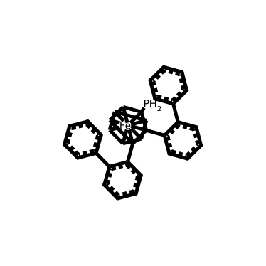 P[C]12[CH]3[CH]4[C]5(c6ccccc6-c6ccccc6)[C]1(c1ccccc1-c1ccccc1)[Fe]34251678[CH]2[CH]1[CH]6[CH]7[CH]28